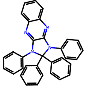 c1ccc(N2c3nc4ccccc4nc3N(c3ccccc3)C2(c2ccccc2)c2ccccc2)cc1